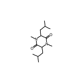 CC(C)CC1C(=O)N(C)C(CC(C)C)C(=O)N1C